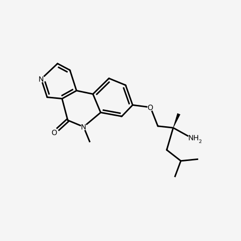 CC(C)C[C@@](C)(N)COc1ccc2c3ccncc3c(=O)n(C)c2c1